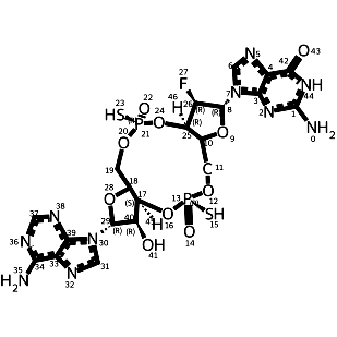 Nc1nc2c(ncn2[C@@H]2OC3CO[P@@](=O)(S)O[C@@H]4C(CO[P@@](=O)(S)O[C@H]3[C@H]2F)O[C@@H](n2cnc3c(N)ncnc32)[C@@H]4O)c(=O)[nH]1